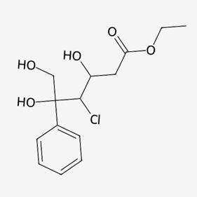 CCOC(=O)CC(O)C(Cl)C(O)(CO)c1ccccc1